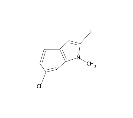 Cn1c(I)cc2ccc(Cl)cc21